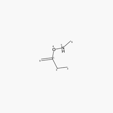 C=C(CC)ONC